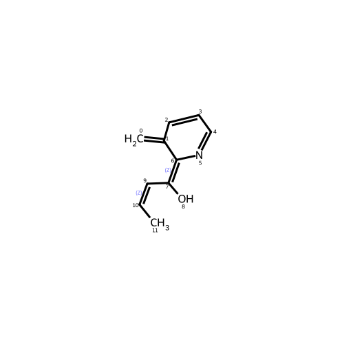 C=c1cccn/c1=C(O)/C=C\C